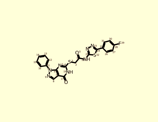 O=C(CSc1nc2c(cnn2-c2ccccc2)c(=O)[nH]1)Nc1nnc(-c2ccc(F)cc2)s1